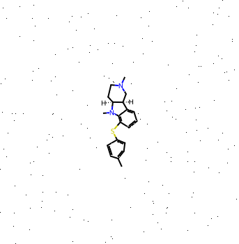 Cc1ccc(Sc2cccc3c2N(C)[C@H]2CCN(C)C[C@@H]32)cc1